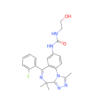 Cc1nnc2n1-c1ccc(NC(=O)NCCO)cc1C(c1ccccc1F)=NC2(C)C